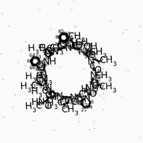 CCCN1CC(=O)N(C)[C@@H](CC(C)C)C(=O)N[C@H](C(=O)N2CCCCC2)CC(=O)N(C)[C@@H](CC(C)C)C(=O)N[C@@H](CCC(=O)NC)C(=O)N(C)[C@@H](CC(C)C)C(=O)N(C)[C@@H](Cc2ccccc2)C(=O)N[C@@H](CC(C)C)C(=O)N(C)[C@@H](Cc2ccccc2)C(=O)N(C)[C@@H]([C@@H](C)CC)C(=O)N[C@@H]([C@@H](C)O)C1=O